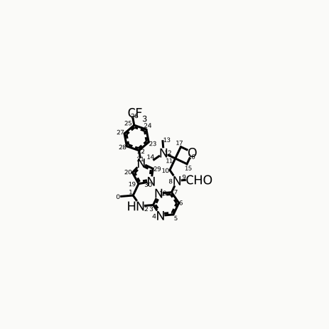 CC(Nc1nccc(N(C=O)CC2(N(C)C)COC2)n1)c1cn(-c2ccc(C(F)(F)F)cc2)cn1